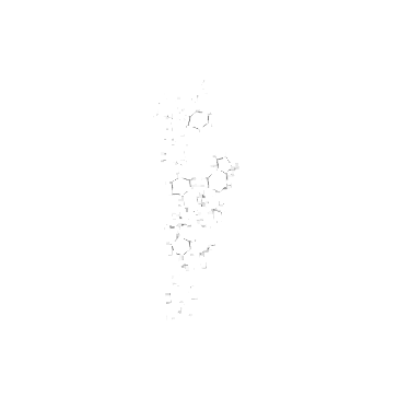 CC(C)Oc1ccccc1[C@@H]1CCCCN1C1CC2(CCN(c3ccc(C(=O)NS(=O)(=O)c4ccc(NC[C@H]5CC[C@](C)(O)CC5)c([N+](=O)[O-])c4)c(N4c5cc6cc[nH]c6nc5O[C@H]5COCC[C@@H]54)c3)CC2)C1